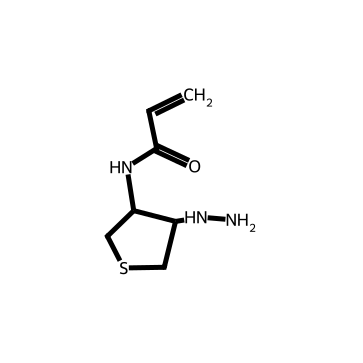 C=CC(=O)NC1CSCC1NN